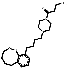 [CH2]CCC(=O)N1CCN(CCCCc2cccc3c2OOCCCC3)CC1